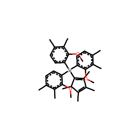 COc1c([Si](C2=C(C)C(C)=C(C)C2C)(c2ccc(C)c(C)c2OC)c2ccc(C)c(C)c2OC)ccc(C)c1C